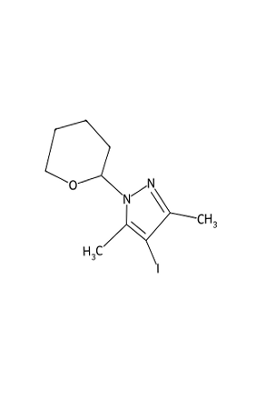 Cc1nn(C2CCCCO2)c(C)c1I